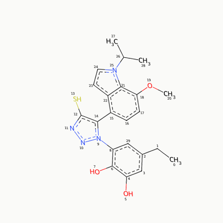 CCc1cc(O)c(O)c(-n2nnc(S)c2-c2ccc(OC)c3c2ccn3C(C)C)c1